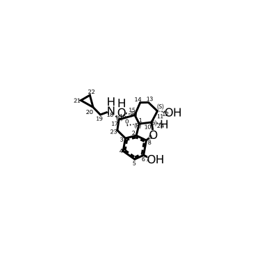 C[C@@]12c3c4ccc(O)c3O[C@@H]1[C@@H](O)CC[C@]2(O)[C@@H](NCC1CC1)C4